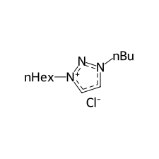 CCCCCC[n+]1ccn(CCCC)n1.[Cl-]